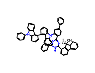 CC1(C)c2c(cccc2C2N=C(c3ccc(-c4ccccc4)cc3-n3c4ccccc4c4c(-c5cccc6c5c5ccccc5n6-c5ccccc5)cccc43)N=C(c3ccccc3)N2)C2=CC=CCC21